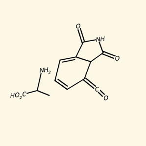 CC(N)C(=O)O.O=C=C1C=CC=C2C(=O)NC(=O)C12